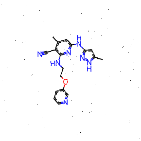 Cc1cc(Nc2cc(C)c(C#N)c(NCCOc3cccnc3)n2)n[nH]1